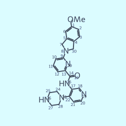 COc1ccc2c(c1)CN(c1cccc(C(=O)Nc3cnccc3N3CCNCC3)n1)C2